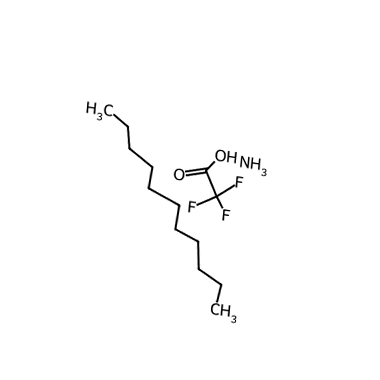 CCCCCCCCCCC.N.O=C(O)C(F)(F)F